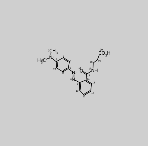 CN(C)c1ccc(/N=N/c2ccccc2C(=O)NCCC(=O)O)cc1